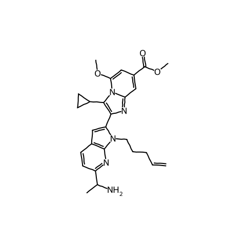 C=CCCCn1c(-c2nc3cc(C(=O)OC)cc(OC)n3c2C2CC2)cc2ccc(C(C)N)nc21